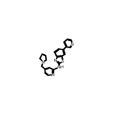 c1cncc(-c2ccc3nc(Nc4cc(CN5CCCC5)ccn4)sc3c2)c1